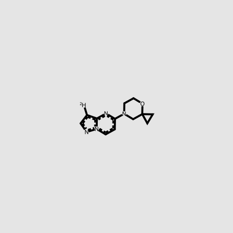 [2H]c1cnn2ccc(N3CCOC4(CC4)C3)nc12